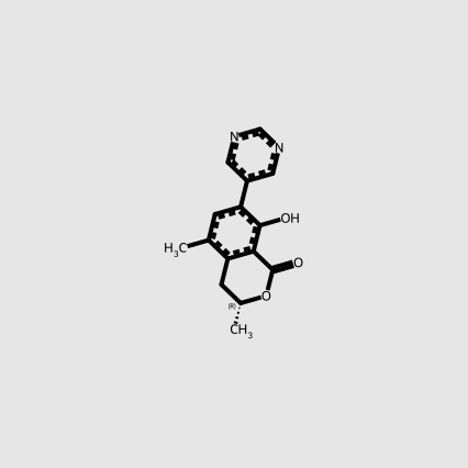 Cc1cc(-c2cncnc2)c(O)c2c1C[C@@H](C)OC2=O